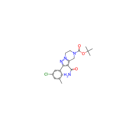 Cc1cc(Cl)cc(-c2nn3c(c2C(N)=O)CN(C(=O)OC(C)(C)C)CC3)c1